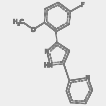 COc1ccc(F)cc1-c1cc(-c2ccccn2)[nH]n1